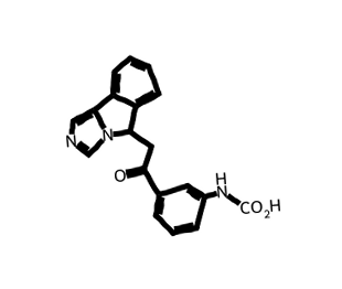 O=C(O)Nc1cccc(C(=O)CC2c3ccccc3-c3cncn32)c1